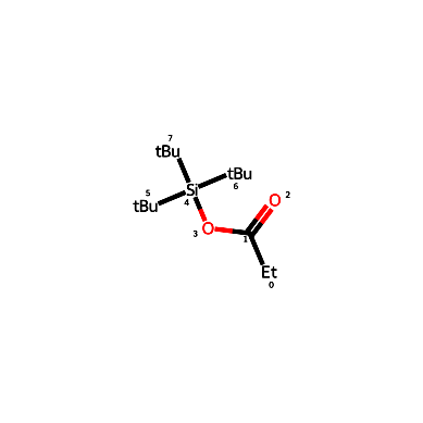 [CH2]CC(=O)O[Si](C(C)(C)C)(C(C)(C)C)C(C)(C)C